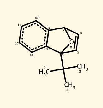 CC(C)(C)C12C=CC(O1)c1ccccc12